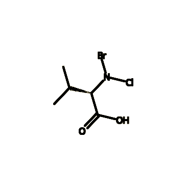 CC(C)[C@@H](C(=O)O)N(Cl)Br